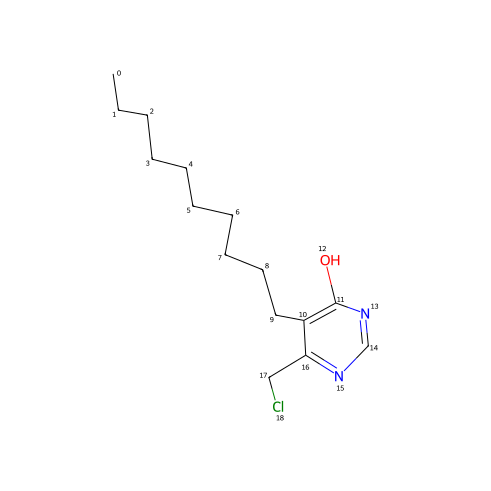 CCCCCCCCCCc1c(O)ncnc1CCl